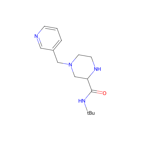 CC(C)(C)NC(=O)C1CN(Cc2cccnc2)CCN1